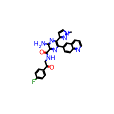 Cn1ccc(-c2nc(N)c(C(=O)NCC(=O)c3ccc(F)cc3)nc2-c2ccc3ncccc3c2)n1